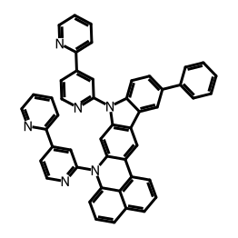 c1ccc(-c2ccc3c(c2)c2cc4c(cc2n3-c2cc(-c3ccccn3)ccn2)N(c2cc(-c3ccccn3)ccn2)c2cccc3cccc-4c23)cc1